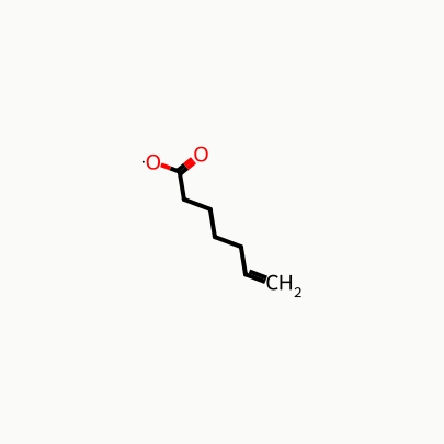 C=CCCCCC([O])=O